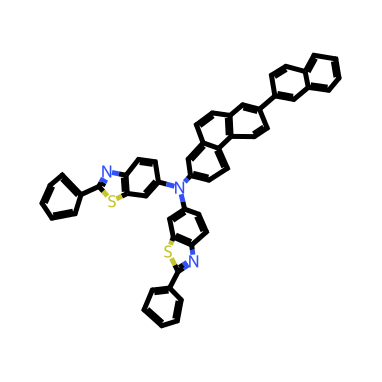 c1ccc(-c2nc3ccc(N(c4ccc5c(ccc6cc(-c7ccc8ccccc8c7)ccc65)c4)c4ccc5nc(-c6ccccc6)sc5c4)cc3s2)cc1